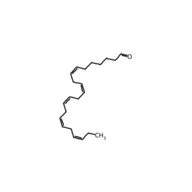 CC/C=C\C/C=C\C/C=C\C/C=C\C/C=C\CCCCC[C]=O